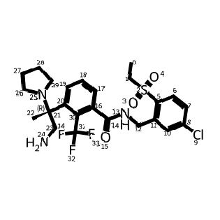 CCS(=O)(=O)c1ccc(Cl)cc1CNC(=O)c1cccc([C@](C)(CN)N2CCCC2)c1C(F)(F)F